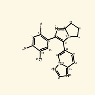 Fc1cc(F)c(-c2nc3n(c2-c2ccc4ncnn4c2)CCC3)cc1Cl